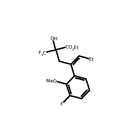 CC/C=C(/CC(O)(C(=O)OCC)C(F)(F)F)c1cccc(F)c1OC